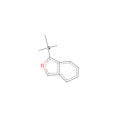 C[Si](C)(C)c1occ2ccccc12